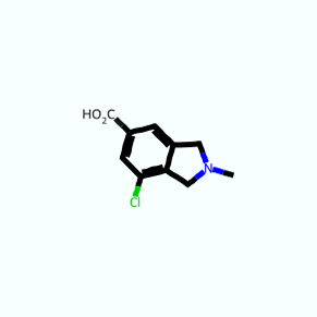 CN1Cc2cc(C(=O)O)cc(Cl)c2C1